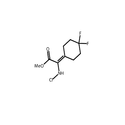 COC(=O)C(NCl)=C1CCC(F)(F)CC1